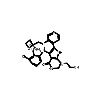 COc1c(Cl)cccc1Nc1c(-c2ccncc2OC[C@@]2(C)CCO2)[nH]c2c1C(=O)NC[C@@H]2CCO